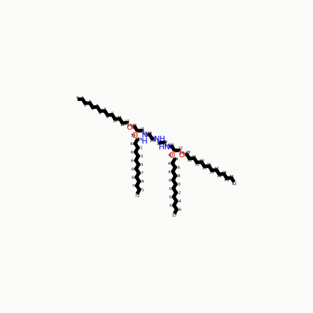 CCCCCCCCCCCCCCOCC(CNCCNCCNCC(COCCCCCCCCCCCCCC)OCCCCCCCCCCCCCC)OCCCCCCCCCCCCCC